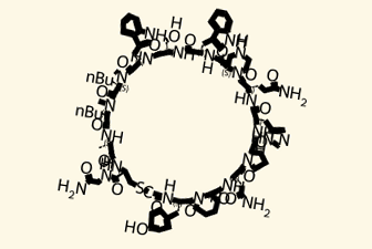 CCCC[C@H]1C(=O)N(C)[C@@H](CCCC)C(=O)N[C@@H](C)C(=O)N[C@H](C(=O)NCC(N)=O)CSCC(=O)N[C@@H](Cc2ccc(O)cc2)C(=O)N2CCCC[C@H]2C(=O)N[C@@H](CC(N)=O)C(=O)N2CCC[C@H]2C(=O)N[C@@H](Cc2cnc[nH]2)C(=O)N[C@@H](CCC(N)=O)C(=O)N2CCNC[C@H]2C(=O)N[C@@H](Cc2c[nH]c3ccccc23)C(=O)N[C@@H](CO)C(=O)N[C@@H](Cc2c[nH]c3ccccc23)C(=O)N1C